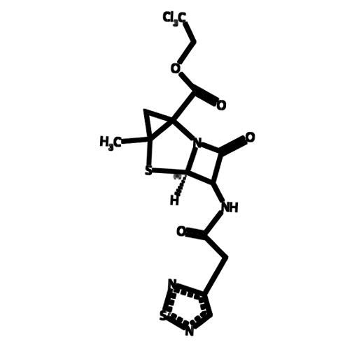 CC12CC1(C(=O)OCC(Cl)(Cl)Cl)N1C(=O)C(NC(=O)Cc3cnsn3)[C@H]1S2